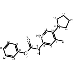 Cc1cc(NC(=O)Oc2ccccc2)ncc1N1CCCC1